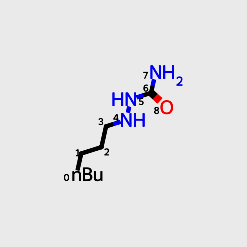 CCCCCCCNNC(N)=O